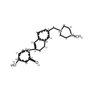 CN1CCN(Cc2ccc3c(c2)CCC(n2ccc(O)cc2=O)=C3)CC1